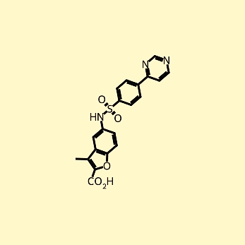 Cc1c(C(=O)O)oc2ccc(NS(=O)(=O)c3ccc(-c4ccncn4)cc3)cc12